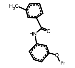 Cc1cccc(C(=O)Nc2cccc(OC(C)C)c2)c1